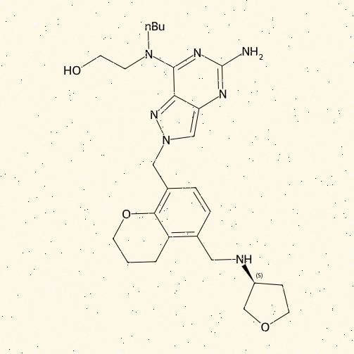 CCCCN(CCO)c1nc(N)nc2cn(Cc3ccc(CN[C@H]4CCOC4)c4c3OCCC4)nc12